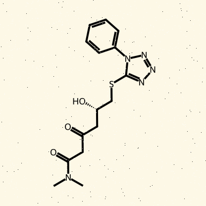 CN(C)C(=O)CC(=O)C[C@H](O)CSc1nnnn1-c1ccccc1